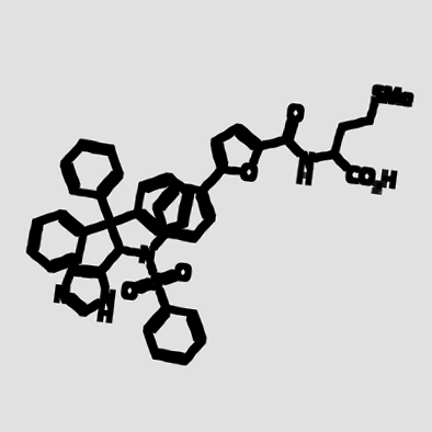 CSCCC(NC(=O)c1ccc(-c2ccc(N(C(c3cnc[nH]3)C(c3ccccc3)(c3ccccc3)c3ccccc3)S(=O)(=O)c3ccccc3)cc2)o1)C(=O)O